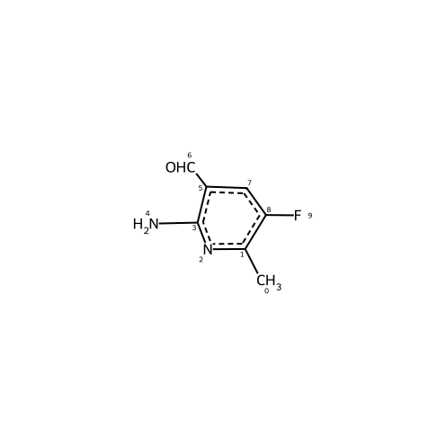 Cc1nc(N)c(C=O)cc1F